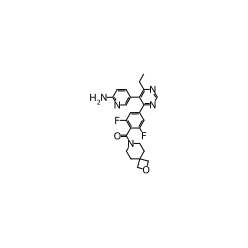 CCc1ncnc(-c2cc(F)c(C(=O)N3CCC4(CC3)COC4)c(F)c2)c1-c1ccc(N)nc1